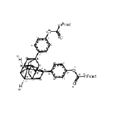 CCCCCC(=O)Oc1ccc(C23CC4C56CC7(c8ccc(OC(=O)CCCCC)cc8)CC([C@H]5C2)[C@@H](C3)C4(C7)C6)cc1